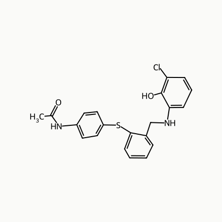 CC(=O)Nc1ccc(Sc2ccccc2CNc2cccc(Cl)c2O)cc1